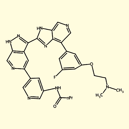 CCCC(=O)Nc1cncc(-c2cc3c(-c4nc5c(-c6cc(F)cc(OCCN(C)C)c6)cncc5[nH]4)n[nH]c3cn2)c1